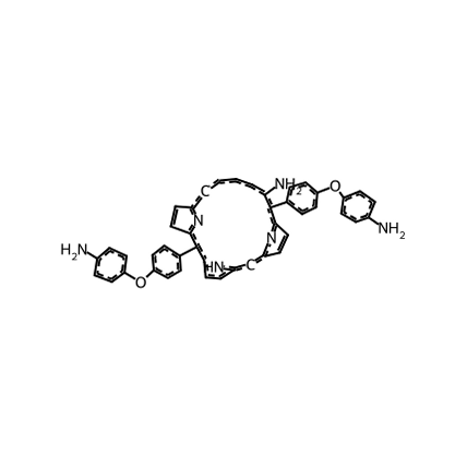 Nc1ccc(Oc2ccc(-c3c(N)ccccc4nc(c(-c5ccc(Oc6ccc(N)cc6)cc5)c5ccc(cc6nc3C=C6)[nH]5)C=C4)cc2)cc1